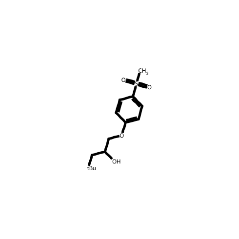 CC(C)(C)CC(O)COc1ccc(S(C)(=O)=O)cc1